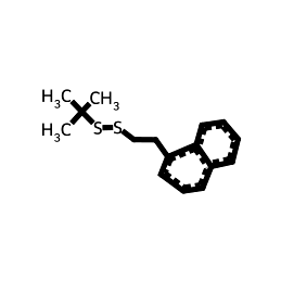 CC(C)(C)SSCCc1cccc2ccccc12